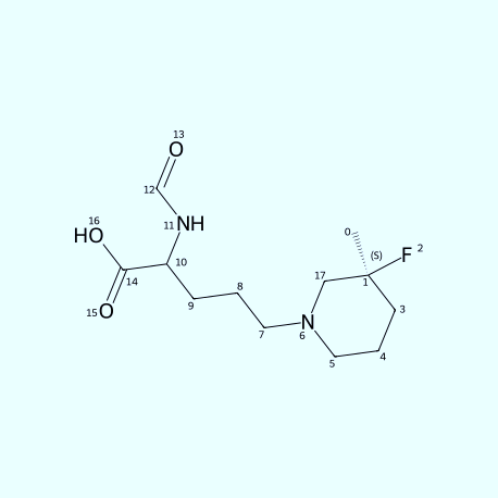 C[C@]1(F)CCCN(CCCC(NC=O)C(=O)O)C1